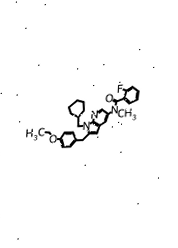 CCOc1ccc(Cc2cc3cc(N(C)C(=O)c4ccccc4F)cnc3n2CC2CCCCC2)cc1